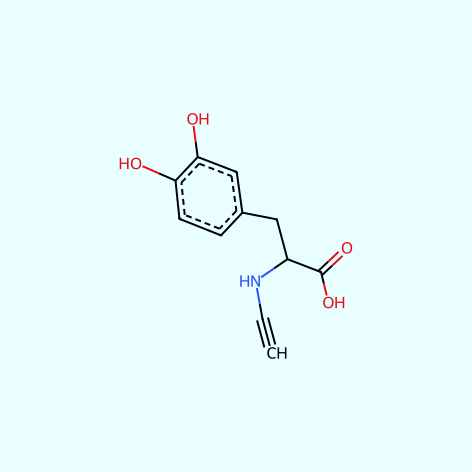 C#CNC(Cc1ccc(O)c(O)c1)C(=O)O